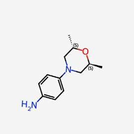 C[C@H]1CN(c2ccc(N)cc2)C[C@H](C)O1